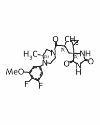 COc1cc(N2CCN(C(=O)[C@@H](C)C[C@@]3(C4CC4)NC(=O)NC3=O)C[C@@H]2C)cc(F)c1F